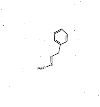 CON=CCc1c[c]ccc1